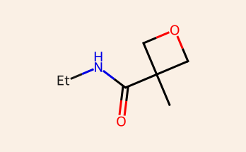 CCNC(=O)C1(C)COC1